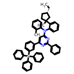 CC[C@H]1CCC(C)(c2ccccc2N(c2cc(-c3cccc([Si](c4ccccc4)(c4ccccc4)c4ccccc4)c3)nc(-c3ccccc3)n2)c2ccccc2C)C1